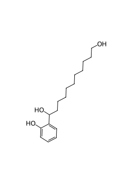 OCCCCCCCCCCC(O)c1ccccc1O